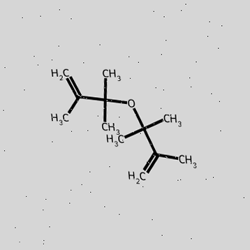 C=C(C)C(C)(C)OC(C)(C)C(=C)C